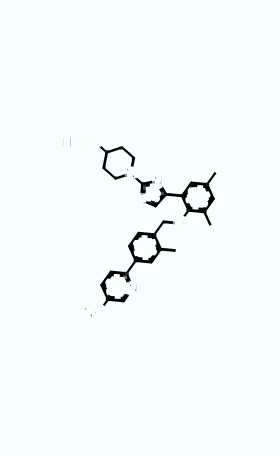 Cc1cc(C)c(OCc2ccc(-c3ccc(C#N)cn3)cc2C)c(-c2csc(N3CCC(C(=O)O)CC3)n2)c1